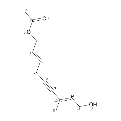 CC(=O)OCC=CCC#CC(C)=CCO